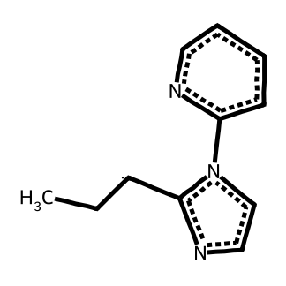 CC[CH]c1nccn1-c1ccccn1